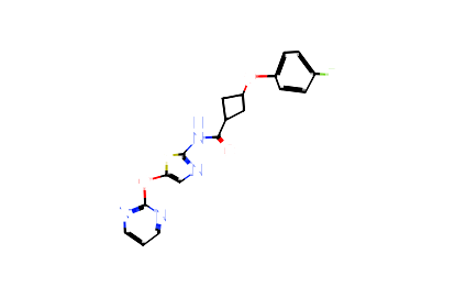 O=C(Nc1ncc(Oc2ncccn2)s1)C1CC(Oc2ccc(F)cc2)C1